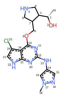 C[C@H](O)C1CNCC1COc1nc(Nc2cnn(C)c2)nc2[nH]cc(Cl)c12